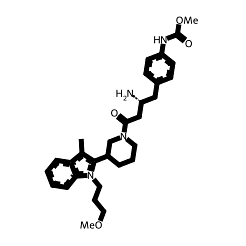 COCCCn1c(C2CCCN(C(=O)C[C@H](N)Cc3ccc(NC(=O)OC)cc3)C2)c(C)c2ccccc21